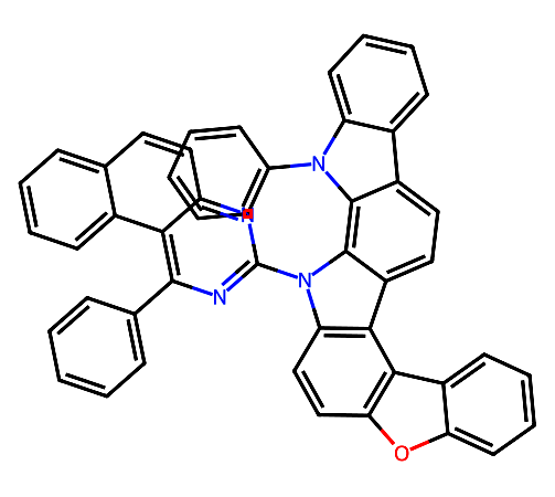 c1ccc(-c2nc(-n3c4ccc5oc6ccccc6c5c4c4ccc5c6ccccc6n(-c6ccccc6)c5c43)nc3ccc4ccccc4c23)cc1